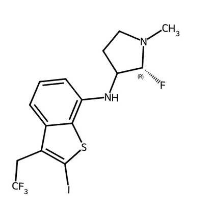 CN1CCC(Nc2cccc3c(CC(F)(F)F)c(I)sc23)[C@H]1F